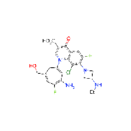 CCNC1CN(c2c(F)cc3c(=O)c(C(=O)O)cn(C4=CC(N)=C(F)C=C(CO)C4)c3c2Cl)C1